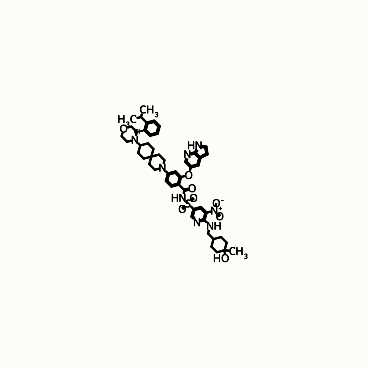 CC(C)c1ccccc1[C@@H]1COCCN1C1CCC2(CC1)CCN(c1ccc(C(=O)NS(=O)(=O)c3cnc(NCC4CCC(C)(O)CC4)c([N+](=O)[O-])c3)c(Oc3cnc4[nH]ccc4c3)c1)CC2